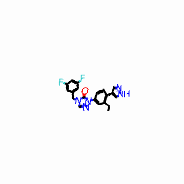 CCc1cc(-n2ncn(Cc3cc(F)cc(F)c3)c2=O)ccc1-c1cn[nH]c1